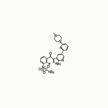 CCCCS(=O)(=O)[NH+]([O-])c1cccc(C(=O)c2c[nH]c3ncc(-c4cccc(N5CCN(C)CC5)n4)cc23)c1F